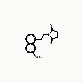 COc1ccc2cccc(CCN3C(=O)CCC3=O)c2c1